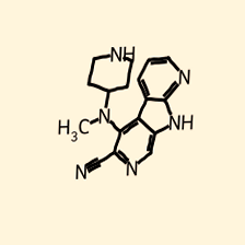 CN(c1c(C#N)ncc2[nH]c3ncccc3c12)C1CCNCC1